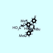 CCCCC1CN(c2ccc(F)cc2)c2cc(SC)c(O/C=C/C(=O)O)cc2S(O)(O)N1Cc1ccc(OC)cc1